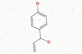 C=CC(Br)c1ccc(Br)cc1